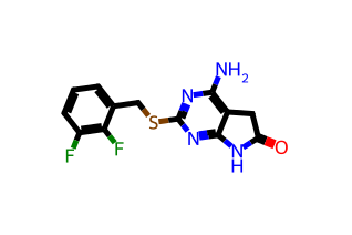 Nc1nc(SCc2cccc(F)c2F)nc2c1CC(=O)N2